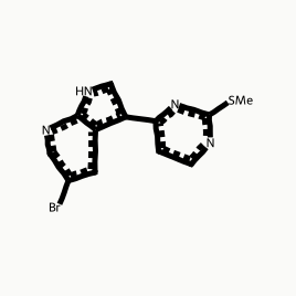 CSc1nccc(-c2c[nH]c3ncc(Br)cc23)n1